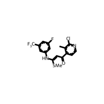 CS/C(=C\C(=O)c1ccnc(Cl)c1C)Nc1cc(F)cc(C(F)(F)F)c1